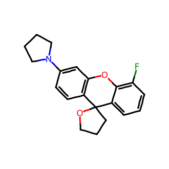 Fc1cccc2c1Oc1cc(N3CCCC3)ccc1C21CCCO1